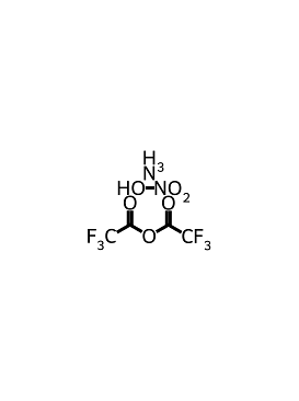 N.O=C(OC(=O)C(F)(F)F)C(F)(F)F.O=[N+]([O-])O